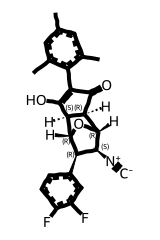 [C-]#[N+][C@@H]1[C@@H]2O[C@@H]([C@H]3C(O)=C(c4c(C)cc(C)cc4C)C(=O)[C@@H]23)[C@@H]1c1ccc(F)c(F)c1